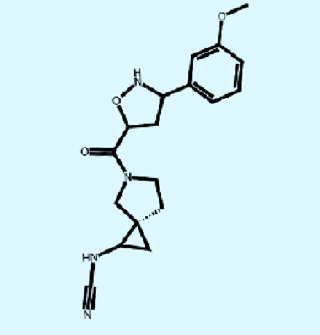 COc1cccc(C2CC(C(=O)N3CC[C@@]4(CC4NC#N)C3)ON2)c1